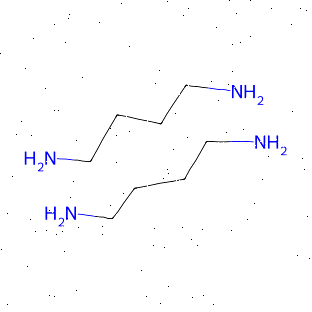 NCCCCN.NCCCCN